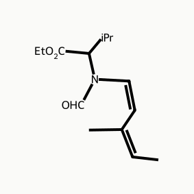 C/C=C(C)\C=C/N(C=O)C(C(=O)OCC)C(C)C